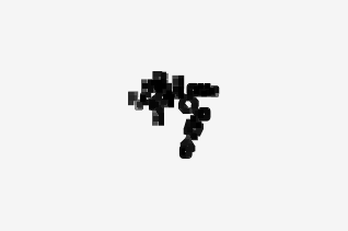 CCNc1nc(Nc2ccc(C(=O)N3CCN(C4COC4)CC3)cc2OC)nc2[nH]cc(C(F)(F)F)c12